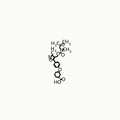 COC(C)CN(C)C(=O)OCc1c(C)noc1-c1ccc(O[C@@H]2CCC[C@@H](C(=O)O)C2)cc1